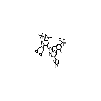 Cc1cc(CN(Cc2cc3c(C)nn(C(C)(C)C)c3nc2N(CC2CC2)CC2CC2)c2ncc(-c3ccn(C)n3)cn2)cc(C(F)(F)F)c1